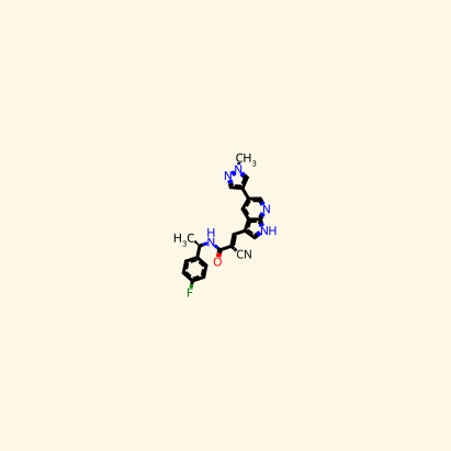 C[C@@H](NC(=O)/C(C#N)=C/c1c[nH]c2ncc(-c3cnn(C)c3)cc12)c1ccc(F)cc1